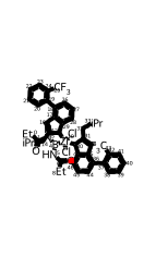 CCC(=O)N[B](NC(=O)CC)[Zr]([Cl])([Cl])([CH]1C(CC(C)C)=Cc2c(-c3ccccc3C(F)(F)F)cccc21)[CH]1C(CC(C)C)=Cc2c(-c3ccccc3C(F)(F)F)cccc21